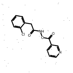 O=C(Cc1ccccc1Cl)NOC(=O)c1cccnc1